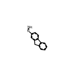 N=Nc1ccc2c(c1)Cc1ccccc1-2